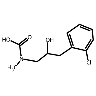 CN(CC(O)Cc1ccccc1Cl)C(=O)O